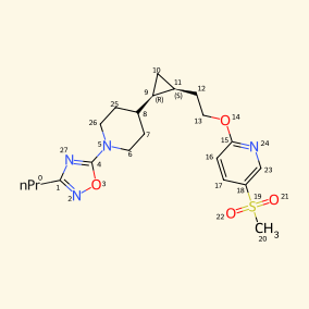 CCCc1noc(N2CCC([C@H]3C[C@H]3CCOc3ccc(S(C)(=O)=O)cn3)CC2)n1